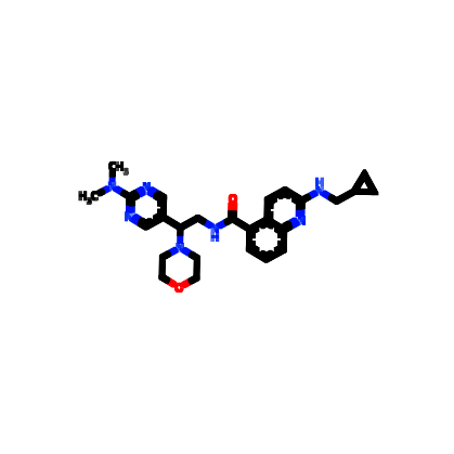 CN(C)c1ncc(C(CNC(=O)c2cccc3nc(NCC4CC4)ccc23)N2CCOCC2)cn1